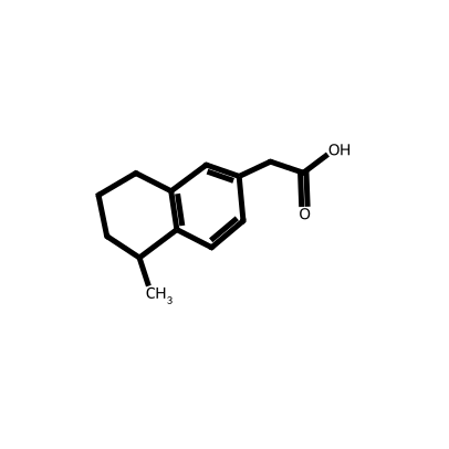 CC1CCCc2cc(CC(=O)O)ccc21